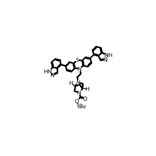 CC(C)(C)OC(=O)N1C[C@H]2C[C@@H]1CN2CCN1c2ccc(-c3cccc4[nH]ncc34)cc2Sc2cc(-c3cccc4[nH]ncc34)ccc21